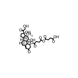 C[C@]12C[C@H](O)[C@H]3[C@@H](CCC4=CC(=O)CC(OC(=O)CCC(=O)OC(=O)CCC(=O)O)[C@@]43C)[C@@H]1CC[C@]2(O)C(=O)CO